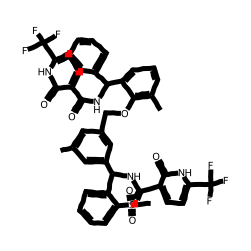 Cc1cc(COc2c(C)cccc2C(NC(=O)c2ccc(C(F)(F)F)[nH]c2=O)c2ccccc2)cc(C(NC(=O)c2ccc(C(F)(F)F)[nH]c2=O)c2ccccc2S(C)(=O)=O)c1